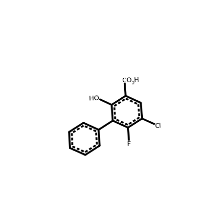 O=C(O)c1cc(Cl)c(F)c(-c2ccccc2)c1O